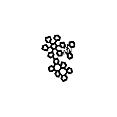 c1ccc(-c2c(-c3ccccc3)c(-c3ccccc3)c(-c3cccc(-n4c5ccccc5n5c6ccccc6nc45)c3)c(-c3cccc(-c4ccc5c6cccc7c6-c6c(cccc6c6ccccc6c5c4)c4ccccc4c4ccccc74)c3)c2-c2ccccc2)cc1